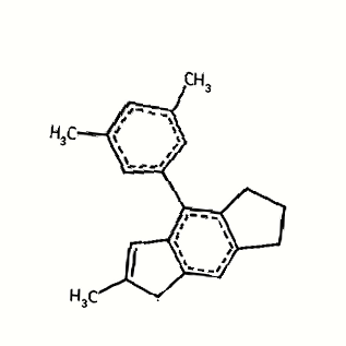 CC1=Cc2c(cc3c(c2-c2cc(C)cc(C)c2)CCC3)[CH]1